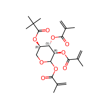 C=C(C)C(=O)OC1OC[C@@H](OC(=O)C(C)(C)C)[C@H](OC(=O)C(=C)C)[C@H]1OC(=O)C(=C)C